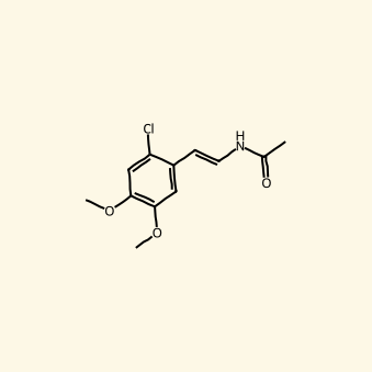 COc1cc(Cl)c(C=CNC(C)=O)cc1OC